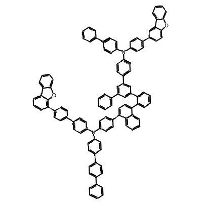 c1ccc(-c2ccc(-c3ccc(N(c4ccc(-c5ccc(-c6cccc7c6oc6ccccc67)cc5)cc4)c4ccc(-c5ccc(-c6ccccc6-c6cc(-c7ccccc7)cc(-c7ccc(N(c8ccc(-c9ccccc9)cc8)c8ccc(-c9ccc%10oc%11ccccc%11c%10c9)cc8)cc7)c6)c6ccccc56)cc4)cc3)cc2)cc1